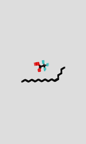 CCCC/C=C\CCCCCCCCCC.O=C(O)C(F)(F)F